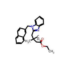 CCOC(=O)CC(C)(C)Cc1nc2ccccc2n1Cc1ccc2ccccc2c1